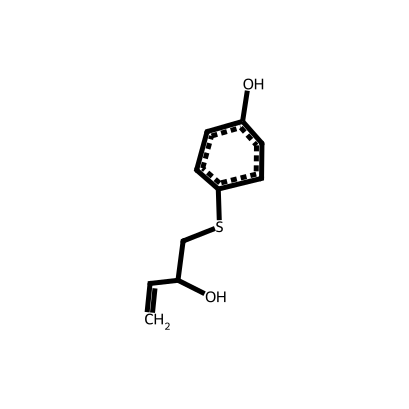 C=CC(O)CSc1ccc(O)cc1